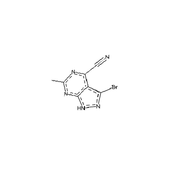 Cc1nc(C#N)c2c(Br)n[nH]c2n1